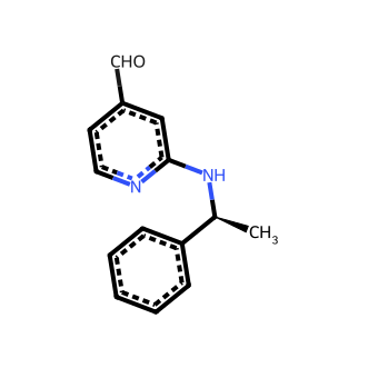 C[C@H](Nc1cc(C=O)ccn1)c1ccccc1